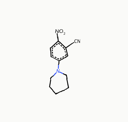 N#Cc1cc(N2CCCCC2)ccc1[N+](=O)[O-]